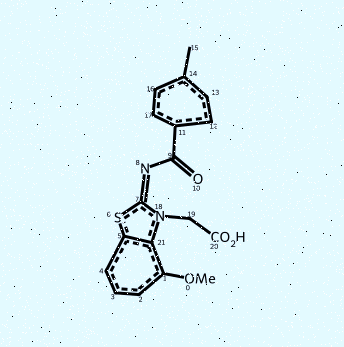 COc1cccc2sc(=NC(=O)c3ccc(C)cc3)n(CC(=O)O)c12